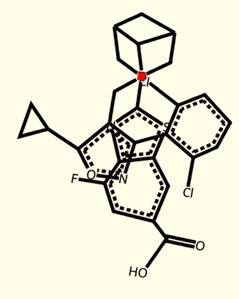 O=C(O)c1cc(F)c2nc(N3CC4CC(C3)C4OCc3c(-c4c(Cl)cccc4Cl)noc3C3CC3)sc2c1